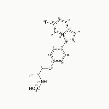 C[C@H](COc1ccc(-c2cnc3ccc(F)nn23)cc1)NC(=O)O